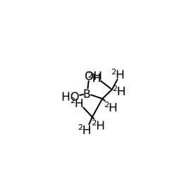 [2H]C([2H])([2H])C([2H])(B(O)O)C([2H])([2H])[2H]